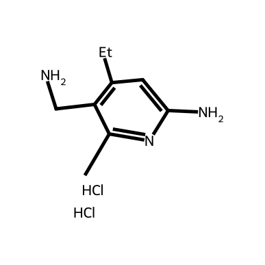 CCc1cc(N)nc(C)c1CN.Cl.Cl